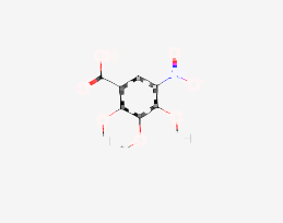 COc1c(C(=O)O)cc([N+](=O)[O-])c(OC)c1OC